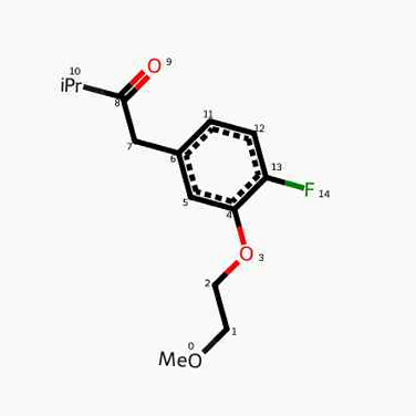 COCCOc1cc(CC(=O)C(C)C)ccc1F